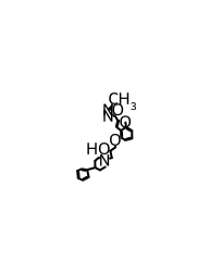 Cc1nnc(-c2cc3c(OC[C@@H](O)CN4CCC(c5ccccc5)CC4)cccc3o2)o1